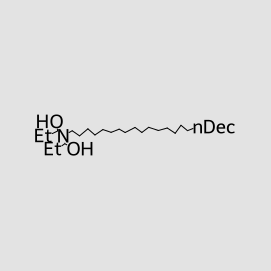 CCCCCCCCCCCCCCCCCCCCCCCCCCN(C(O)CC)C(O)CC